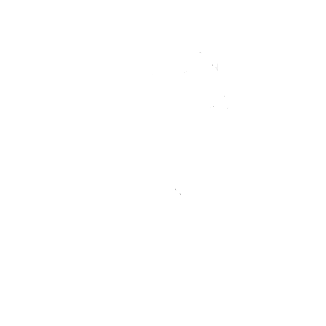 CN1C2CCC(CC2)C1c1ccc(-c2ccccc2)nc1